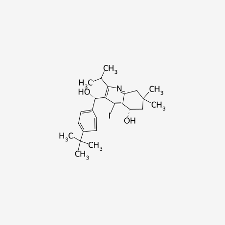 CC(C)c1nc2c(c(I)c1[C@@H](O)c1ccc(C(C)(C)C)cc1)[C@@H](O)CC(C)(C)C2